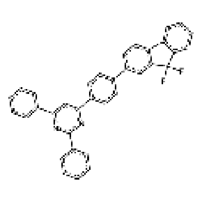 FC1(F)c2ccccc2-c2ccc(-c3ccc(-c4cc(-c5ccccc5)nc(-c5ccccc5)n4)cc3)cc21